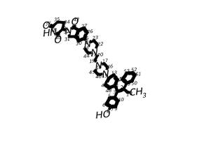 CCC(=C(c1ccc(O)cc1)c1ccc(N2CCN(CCN3CCN(c4ccc5c(c4)CN(C4CCC(=O)NC4=O)C5=O)CC3)CC2)cc1)c1ccccc1